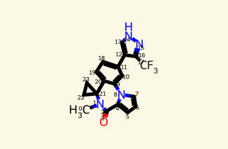 CN1C(=O)c2cccn2-c2cc(-c3c[nH]nc3C(F)(F)F)ccc2C12CC2